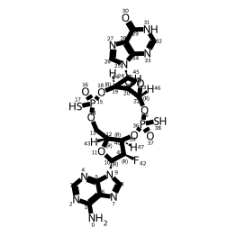 Nc1ncnc2c1ncn2[C@@H]1O[C@@H]2COP(=O)(S)O[C@@H]3[C@H](O)[C@H](O[C@H]3n3cnc4c(=O)[nH]cnc43)OP(=O)(S)O[C@H]2[C@H]1F